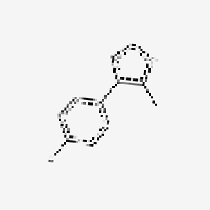 Cc1occc1-c1ccc(F)cc1